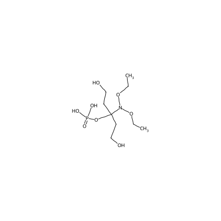 CCON(OCC)C(CCO)(CCO)OP(=O)(O)O